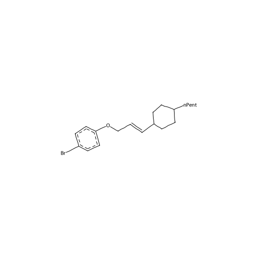 CCCCCC1CCC(/C=C/COc2ccc(Br)cc2)CC1